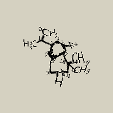 CC(C)c1cc(F)c2c(c1)CNCC2(C)C